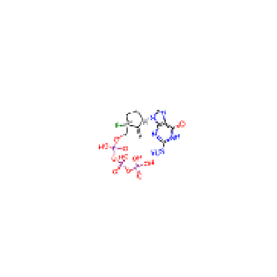 C=C1[C@@H](n2cnc3c(=O)[nH]c(N)nc32)CC[C@@]1(F)COP(=O)(O)OP(=O)(O)OP(=O)(O)O